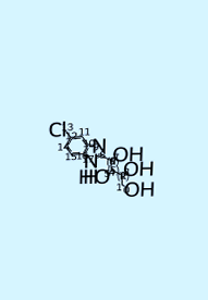 OC[C@@H](O)[C@@H](O)[C@H](O)c1nc2cc(Cl)ccc2[nH]1